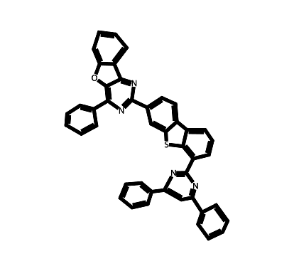 c1ccc(-c2cc(-c3ccccc3)nc(-c3cccc4c3sc3cc(-c5nc(-c6ccccc6)c6oc7ccccc7c6n5)ccc34)n2)cc1